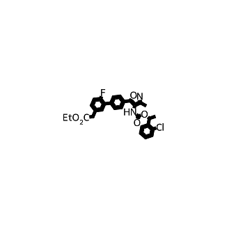 CCOC(=O)Cc1ccc(F)c(-c2ccc(-c3onc(C)c3NC(=O)OC(C)c3ccccc3Cl)cc2)c1